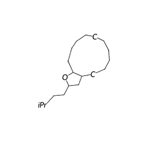 CC(C)CCC1CC2CCCCCCCCCCC2O1